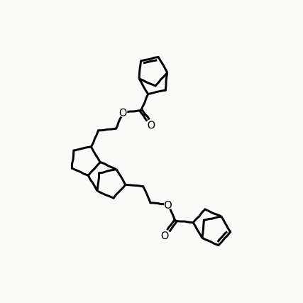 O=C(OCCC1CC2CC1C1C(CCOC(=O)C3CC4C=CC3C4)CCC21)C1CC2C=CC1C2